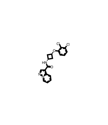 O=C(N[C@H]1C[C@H](Oc2cccc(Cl)c2Cl)C1)c1cnn2ccccc12